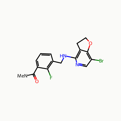 CNC(=O)c1cccc(CNc2ncc(Br)c3c2CCO3)c1F